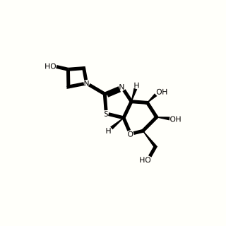 OC[C@H]1O[C@@H]2SC(N3CC(O)C3)=N[C@@H]2[C@@H](O)[C@H]1O